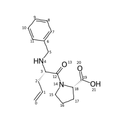 C=CC[C@H](NCc1ccccc1)C(=O)N1CCC[C@H]1C(=O)O